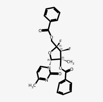 Cc1ccn([C@@H]2O[C@](F)(COC(=O)c3ccccc3)[C@@H](F)[C@@]2(C)OC(=O)c2ccccc2)c(=O)n1